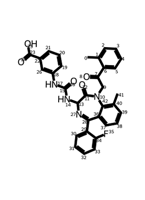 Cc1ccccc1C(=O)CN1C(=O)C(NC(=O)Nc2cccc(C(=O)O)c2)N=C(c2ccccc2F)c2cccc(C)c21